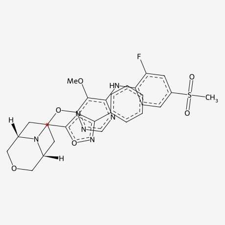 COc1c(Nc2ccc(S(C)(=O)=O)cc2F)ncnc1OC1C[C@H]2COC[C@@H](C1)N2Cc1nc(-c2ccccc2)no1